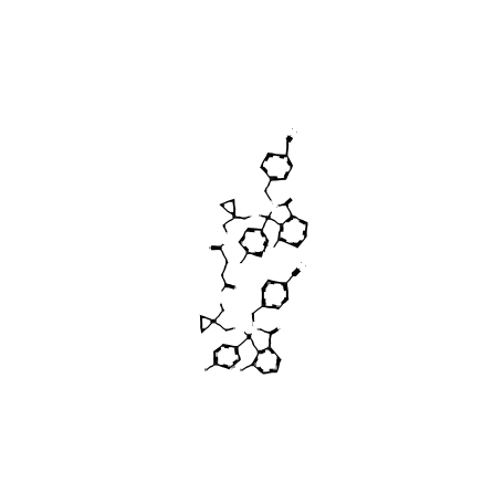 N#Cc1ccc(CN2C(=O)c3cccc(Cl)c3C2(OCC2(COC(=O)CCC(=O)OCC3(COC4(c5ccc(Cl)cc5)c5c(Cl)cccc5C(=O)N4Cc4ccc(C#N)cc4)CC3)CC2)c2ccc(Cl)cc2)cc1